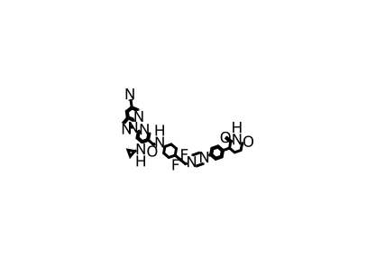 N#Cc1cnc2c(cnn2-c2cc(NC3CC3)c(C(=O)NC3CCC(C(F)(F)CN4CCN(c5ccc(C6CCC(=O)NC6=O)cc5)CC4)CC3)cn2)c1